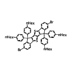 CCCCCCc1ccc(C2(c3ccc(CCCCCC)cc3)c3cc(Br)ccc3-c3sc4c5c(sc4c32)-c2ccc(Br)cc2C5(c2ccc(CCCCCC)cc2)c2ccc(CCCCCC)cc2)cc1